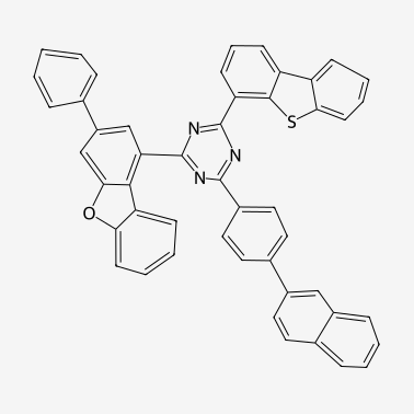 c1ccc(-c2cc(-c3nc(-c4ccc(-c5ccc6ccccc6c5)cc4)nc(-c4cccc5c4sc4ccccc45)n3)c3c(c2)oc2ccccc23)cc1